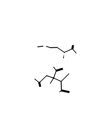 CC(C(=O)O)C(O)(CC(=O)O)C(=O)O.CSCC[C@H](N)C(=O)O